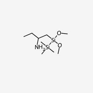 CCC(N)C[Si](OC)(OC)[Si](C)(C)C